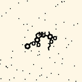 CCCCOc1cc(/C=C/C2NCCc3cc(OCc4ccccc4)c(OC)cc32)c(C)cc1OC